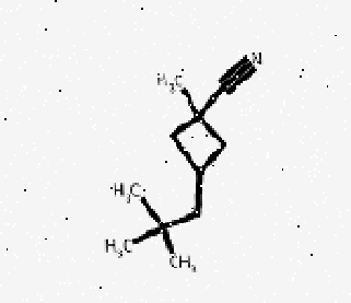 CC(C)(C)CC1CC(C)(C#N)C1